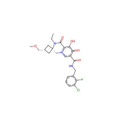 CCN1C(=O)c2c(O)c(=O)c(C(=O)NCc3cccc(Cl)c3F)cn2C[C@]12C[C@@H](COC)C2